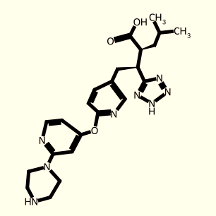 CC(C)C[C@H](C(=O)O)[C@H](Cc1ccc(Oc2ccnc(N3CCNCC3)c2)nc1)c1nn[nH]n1